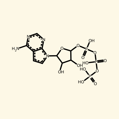 Nc1ncnc2c1ccn2C1OC(OP(=O)(O)OP(=O)(O)OP(=O)(O)O)C(O)C1O